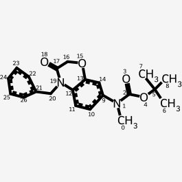 CN(C(=O)OC(C)(C)C)c1ccc2c(c1)OCC(=O)N2Cc1ccccc1